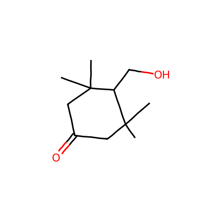 CC1(C)CC(=O)CC(C)(C)C1CO